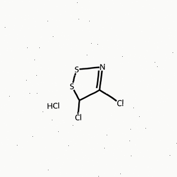 Cl.ClC1=NSSC1Cl